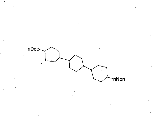 CCCCCCCCCCC1CCC(C2CCC(C3CCC(CCCCCCCCC)CC3)CC2)CC1